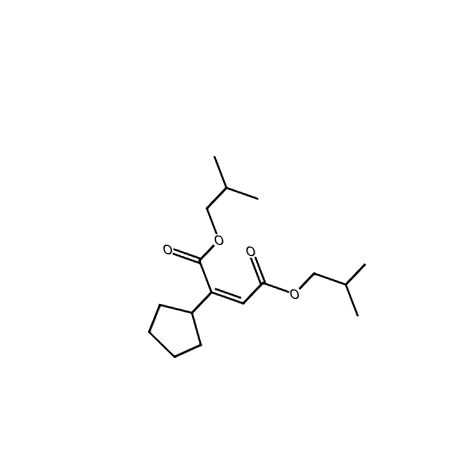 CC(C)COC(=O)C=C(C(=O)OCC(C)C)C1CCCC1